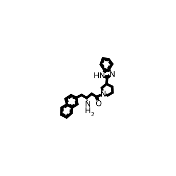 N[C@@H](CC(=O)N1CCCC(c2nc3ccccc3[nH]2)C1)Cc1ccc2ccccc2c1